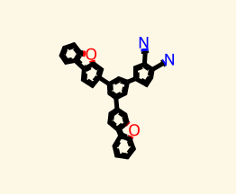 N#Cc1ccc(-c2cc(-c3ccc4c(c3)oc3ccccc34)cc(-c3ccc4c(c3)oc3ccccc34)c2)cc1C#N